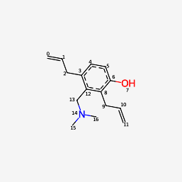 C=CCc1ccc(O)c(CC=C)c1CN(C)C